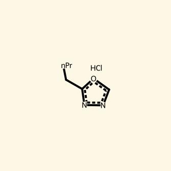 CCCCc1nnco1.Cl